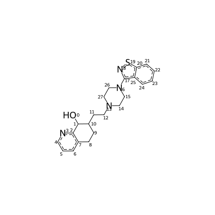 OC1c2ncccc2CCC1CCN1CCN(c2nsc3ccccc23)CC1